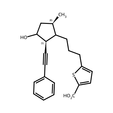 C[C@@H]1CC(O)[C@H](C#Cc2ccccc2)C1CCCc1ccc(C(=O)O)s1